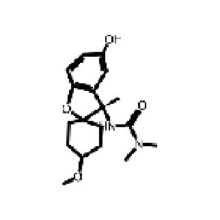 COC1CCC2(CC1)Oc1ccc(O)cc1[C@]2(C)NC(=O)N(C)C